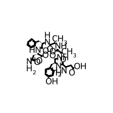 C[C@H](NC(=O)[C@H](C)NC(=O)[C@H](Cc1ccc(O)cc1)NC(=O)[C@@H](N)CC(=O)O)C(=O)N[C@@H](Cc1ccccc1)C(=O)N[C@@H](CC(N)=O)C(=O)O